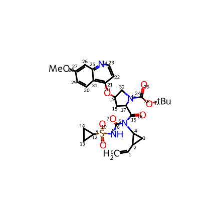 C=CC1CC1N(C(=O)NS(=O)(=O)C1CC1)C(=O)C1CC(Oc2ccnc3cc(OC)ccc23)CN1C(=O)OC(C)(C)C